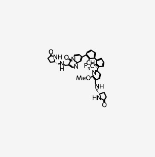 COc1nc(-c2cccc(-c3cccc(-c4ccn5c(=O)c(CNC[C@@H]6CCC(=O)N6)cnc5c4)c3C)c2C(F)(F)F)ccc1CNC[C@@H]1CCC(=O)N1